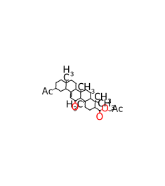 CC(=O)COC(=O)C1CCC2(C)C(CCC3(C)C4CCC5(C)CCC(C(C)=O)CC5C4=CC(=O)C32)C1(C)C